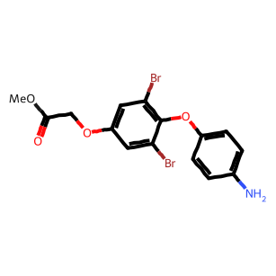 COC(=O)COc1cc(Br)c(Oc2ccc(N)cc2)c(Br)c1